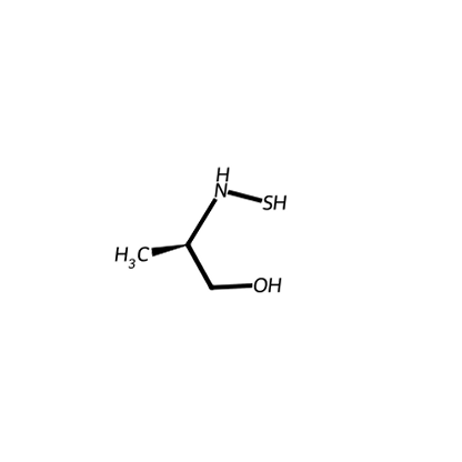 C[C@H](CO)NS